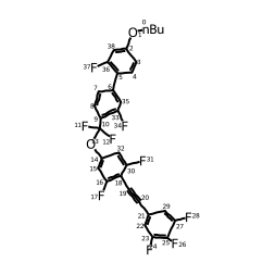 CCCCOc1ccc(-c2ccc(C(F)(F)Oc3cc(F)c(C#Cc4cc(F)c(F)c(F)c4)c(F)c3)c(F)c2)c(F)c1